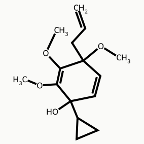 C=CCC1(OC)C=CC(O)(C2CC2)C(OC)=C1OC